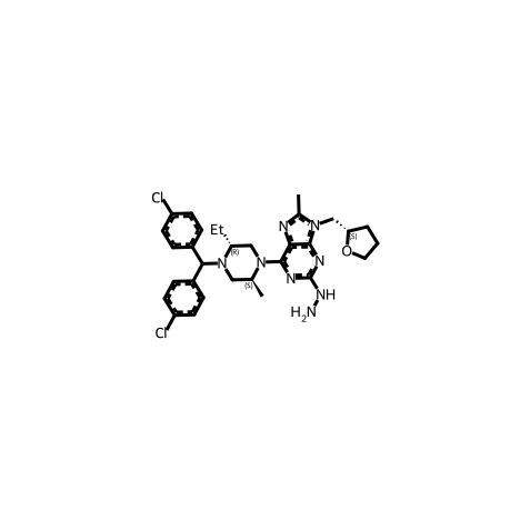 CC[C@@H]1CN(c2nc(NN)nc3c2nc(C)n3C[C@@H]2CCCO2)[C@@H](C)CN1C(c1ccc(Cl)cc1)c1ccc(Cl)cc1